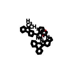 CC1(C)c2ccccc2-c2ccc(-c3nc(-n4c5c6ccccc6c6ccccc6c5c5ccc6ccn(-c7ccccc7)c6c54)nc4ccccc34)cc21